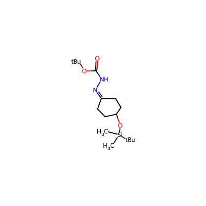 CC(C)(C)OC(=O)NN=C1CCC(O[Si](C)(C)C(C)(C)C)CC1